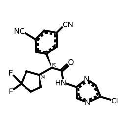 N#Cc1cc(C#N)cc([C@@H](C(=O)Nc2cnc(Cl)cn2)[C@H]2CCC(F)(F)C2)c1